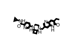 CCc1cc2ncc(CN3CCN(c4ccc(C(=O)NC5CC5)nc4)[C@H]4CC[C@@H]43)cc2[nH]c1=O